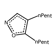 CCCCCc1cnoc1CCCCC